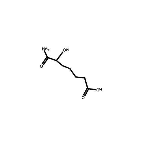 NC(=O)C(O)CCCCC(=O)O